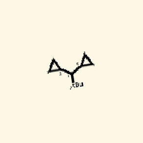 [CH2]C(C)(C)C(C1CC1)C1CC1